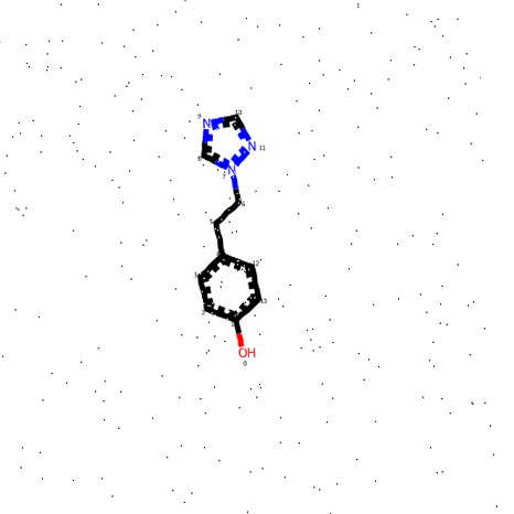 Oc1ccc(CCn2cncn2)cc1